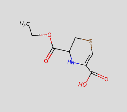 CCOC(=O)C1CSC=C(C(=O)O)N1